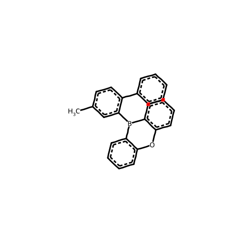 Cc1ccc(-c2ccccc2)c(B2c3ccccc3Oc3ccccc32)c1